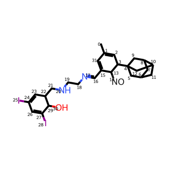 CC1=CC(C23CC4CC(C2)C(C4)C3)C(N=O)C(/C=N/CCNCC2C=C(I)C=C(I)C2O)=C1